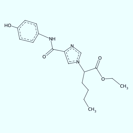 CCCCC(C(=O)OCC)n1cnc(C(=O)Nc2ccc(O)cc2)c1